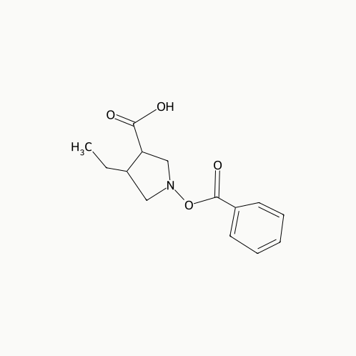 CCC1CN(OC(=O)c2ccccc2)CC1C(=O)O